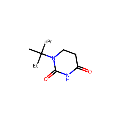 CCCC(C)(CC)N1CCC(=O)NC1=O